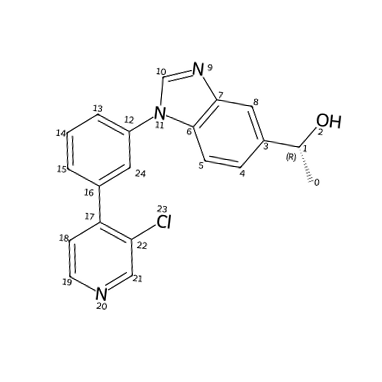 C[C@@H](O)c1ccc2c(c1)ncn2-c1cccc(-c2ccncc2Cl)c1